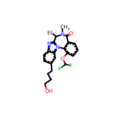 CCC1c2nc3ccc(CCCCO)cc3n2-c2c(OC(F)F)cccc2C(=O)N1C